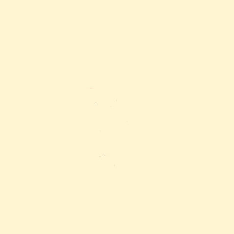 Cc1ccc(-c2cc3nccc(C)c3s2)nc1